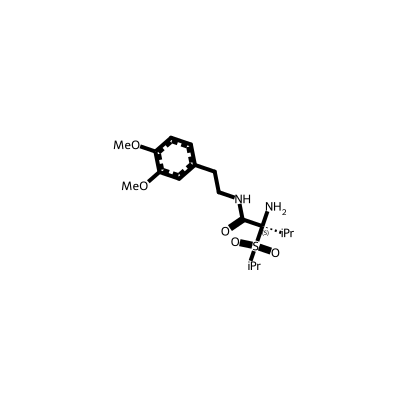 COc1ccc(CCNC(=O)[C@](N)(C(C)C)S(=O)(=O)C(C)C)cc1OC